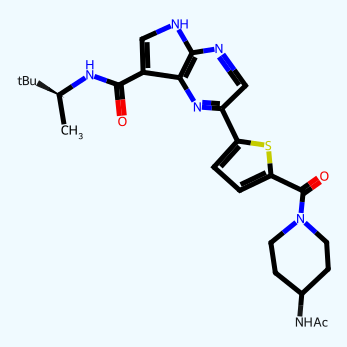 CC(=O)NC1CCN(C(=O)c2ccc(-c3cnc4[nH]cc(C(=O)N[C@@H](C)C(C)(C)C)c4n3)s2)CC1